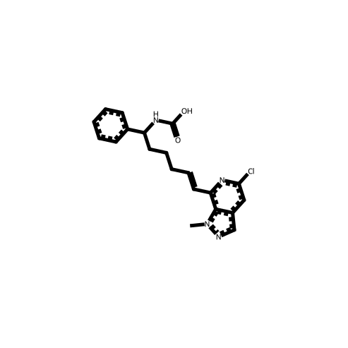 Cn1ncc2cc(Cl)nc(C=CCCCC(NC(=O)O)c3ccccc3)c21